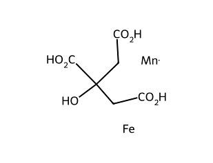 O=C(O)CC(O)(CC(=O)O)C(=O)O.[Fe].[Mn]